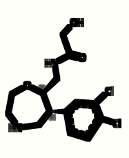 O=C(CO)NC[C@@H]1OCCNC[C@H]1c1ccc(Cl)c(Cl)c1